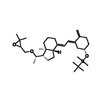 C=C1CC[C@H](O[Si](C)(C)C(C)(C)C)C/C1=C\C=C1/CCC[C@]2(C)[C@@H]([C@H](C)OCC3OC3(C)C)CC[C@@H]12